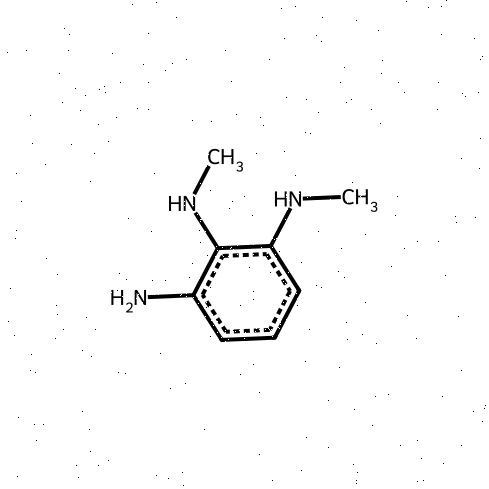 CNc1cccc(N)c1NC